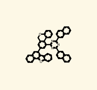 c1ccc2c(c1)OCc1cc(-c3cc4ccccc4c4oc5ccccc5c34)cc(-c3nc(-c4ccc5ccccc5c4)nc(-c4ccc5ccccc5c4)n3)c1-2